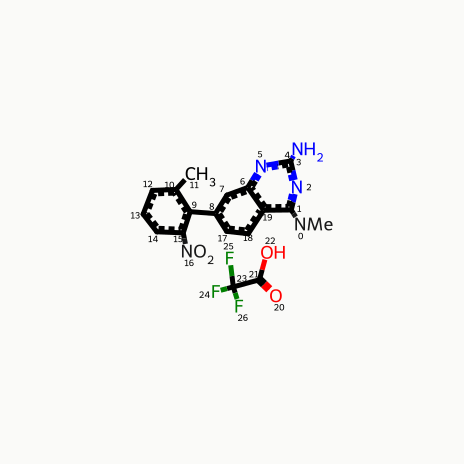 CNc1nc(N)nc2cc(-c3c(C)cccc3[N+](=O)[O-])ccc12.O=C(O)C(F)(F)F